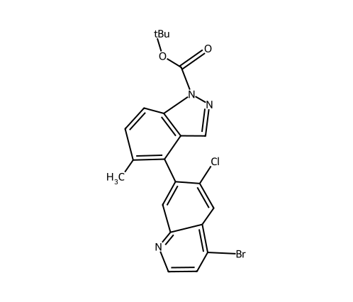 Cc1ccc2c(cnn2C(=O)OC(C)(C)C)c1-c1cc2nccc(Br)c2cc1Cl